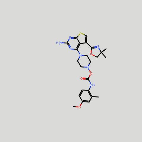 COc1ccc(NC(=O)ON2CCN(c3nc(N)nc4scc(C5=NC(C)(C)CO5)c34)CC2)c(C)c1